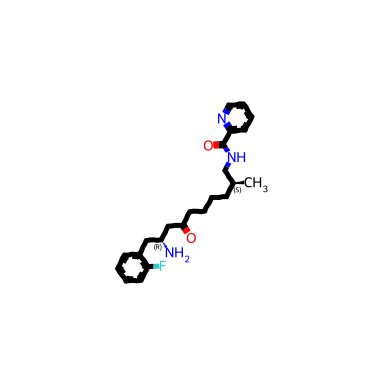 C[C@@H](CCCCC(=O)C[C@H](N)Cc1ccccc1F)CNC(=O)c1ccccn1